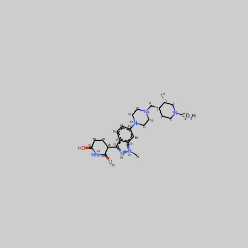 C[C@@H]1CN(C(=O)O)CC[C@H]1CN1CCN(c2ccc3c(C4CCC(=O)NC4=O)nn(C)c3c2)CC1